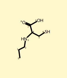 CCCNC(CS)C(=O)O